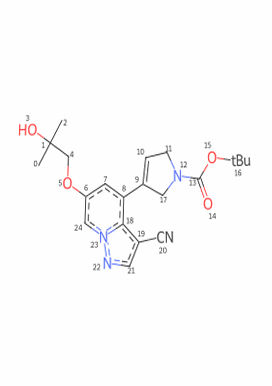 CC(C)(O)COc1cc(C2=CCN(C(=O)OC(C)(C)C)C2)c2c(C#N)cnn2c1